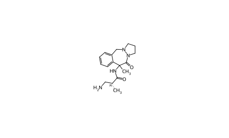 C[C@H](CN)C(=O)NC1(C)C(=O)N2CCCN2Cc2ccccc21